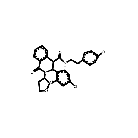 O=C(NCCc1ccc(O)cc1)C1c2ccccc2C(=O)N(C2CCOC2)C1c1ccc(Cl)cc1Cl